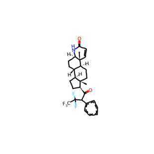 C[C@]12C=CC(=O)N[C@@H]1CC[C@@H]1[C@@H]2CC[C@]2(C)[C@@H](C(=O)C(c3ccccc3)C(F)(F)C(F)(F)F)CC[C@@H]12